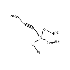 CCCCCCC#C[Si](OCC)(OCC)OCC